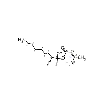 CCCCCCCC(F)C(F)(F)OC(=O)/C=C(/C)N